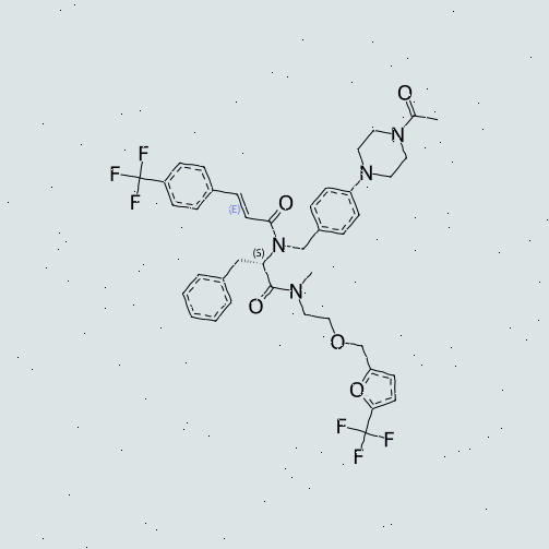 CC(=O)N1CCN(c2ccc(CN(C(=O)/C=C/c3ccc(C(F)(F)F)cc3)[C@@H](Cc3ccccc3)C(=O)N(C)CCOCc3ccc(C(F)(F)F)o3)cc2)CC1